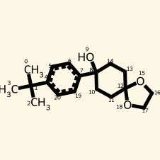 CC(C)(C)c1ccc(C2(O)CCC3(CC2)OCCO3)cc1